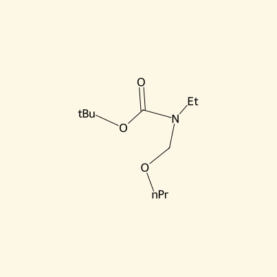 CCCOCN(CC)C(=O)OC(C)(C)C